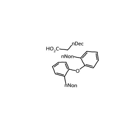 CCCCCCCCCCCC(=O)O.CCCCCCCCCc1ccccc1Oc1ccccc1CCCCCCCCC